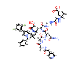 CC(C)C(C)(CCC(=O)O)NCC(=O)NCCNC(=O)[C@H](CCN(C(=O)CO)[C@@H](c1cc(-c2cc(F)ccc2F)cn1Cc1ccccc1)C(C)(C)C)NC(=O)[C@H](CC(N)=O)NC(=O)[C@H](C)NC(=O)[C@H](C)NC(=O)Cc1ccncc1